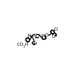 O=C(O)c1ccc2nc(CN3CCN(c4cccc(OCc5ccc(Cl)c6ccoc56)n4)CC3)n(CC3CCO3)c2c1